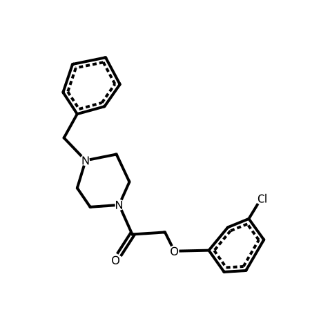 O=C(COc1cccc(Cl)c1)N1CCN(Cc2ccccc2)CC1